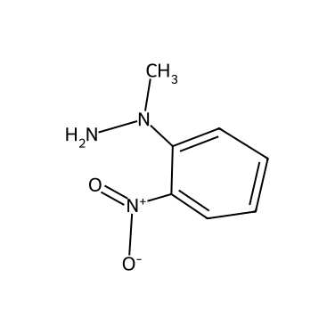 CN(N)c1ccccc1[N+](=O)[O-]